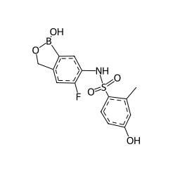 Cc1cc(O)ccc1S(=O)(=O)Nc1cc2c(cc1F)COB2O